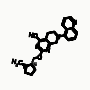 CN1CCC[C@H]1COc1nc(O)c2c(n1)CN(c1cccc3ncccc13)CC2